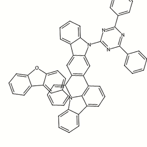 c1ccc(-c2nc(-c3ccccc3)nc(-n3c4ccccc4c4cc(-c5ccccc5)c(-c5cccc6c7ccccc7n(-c7ccc8oc9ccccc9c8c7)c56)cc43)n2)cc1